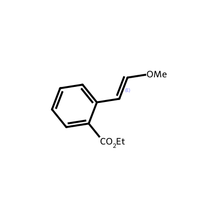 CCOC(=O)c1ccccc1/C=C/OC